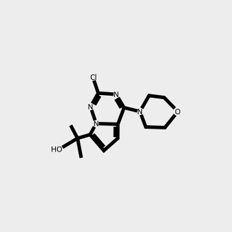 CC(C)(O)c1ccc2c(N3CCOCC3)nc(Cl)nn12